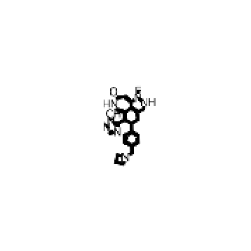 Cn1ncnc1C1C2=CNC(=O)C=C3C2=C(CNN3F)CC1c1ccc(CN2CCC2)cc1